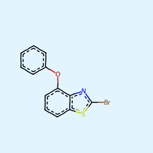 Brc1nc2c(Oc3ccccc3)cccc2s1